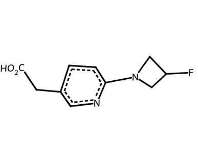 O=C(O)Cc1ccc(N2CC(F)C2)nc1